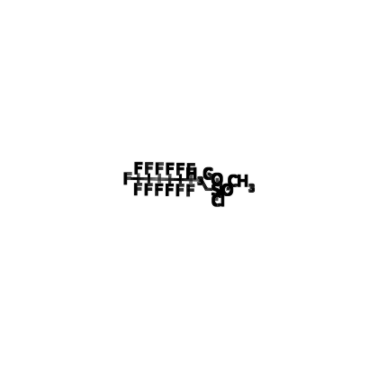 CO[Si](Cl)(CCC(F)(F)C(F)(F)C(F)(F)C(F)(F)C(F)(F)C(F)(F)F)OC